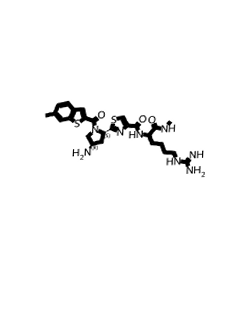 CNC(=O)C(CCCCNC(=N)N)NC(=O)c1csc([C@@H]2C[C@@H](N)CN2C(=O)c2cc3ccc(C)cc3s2)n1